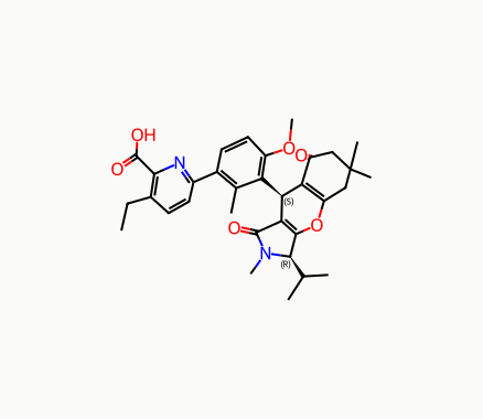 CCc1ccc(-c2ccc(OC)c([C@H]3C4=C(CC(C)(C)CC4=O)OC4=C3C(=O)N(C)[C@@H]4C(C)C)c2C)nc1C(=O)O